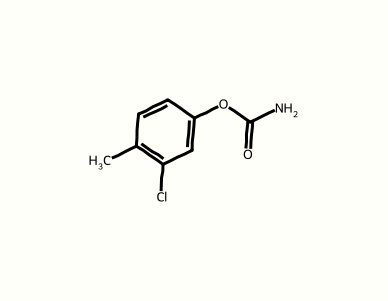 Cc1ccc(OC(N)=O)cc1Cl